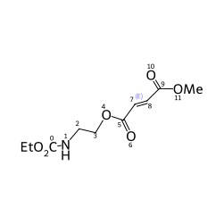 CCOC(=O)NCCOC(=O)/C=C/C(=O)OC